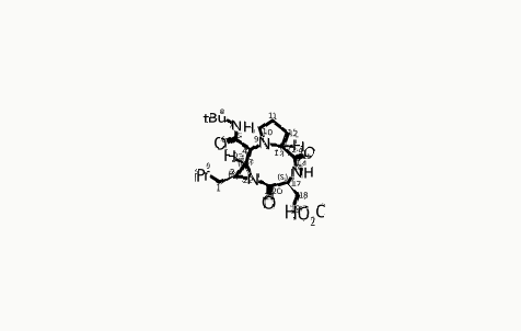 CC(C)C[C@H]1[C@@H]2C(C(=O)NC(C)(C)C)N3CCC[C@@H]3C(=O)N[C@@H](CC(=O)O)C(=O)N12